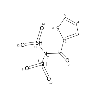 O=C(c1cccs1)N([SH](=O)=O)[SH](=O)=O